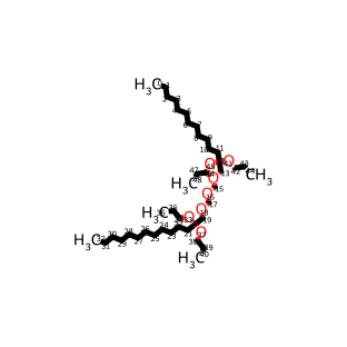 CCCCCCCCCCCCC(COCOCOCC(CCCCCCCCCCCC)(OCCC)OCCC)(OCCC)OCCC